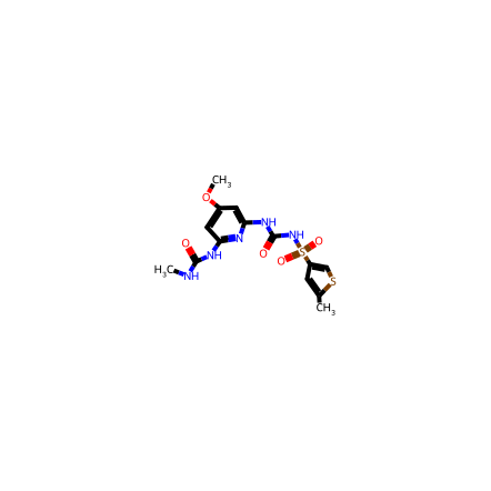 CNC(=O)Nc1cc(OC)cc(NC(=O)NS(=O)(=O)c2csc(C)c2)n1